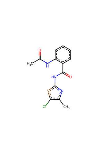 CC(=O)Nc1ccccc1C(=O)Nc1nc(C)c(Cl)s1